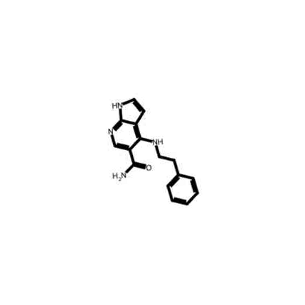 NC(=O)c1cnc2[nH]ccc2c1NCCc1ccccc1